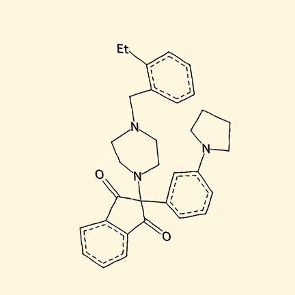 CCc1ccccc1CN1CCN(C2(c3cccc(N4CCCC4)c3)C(=O)c3ccccc3C2=O)CC1